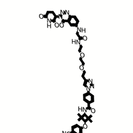 CC1(C)[C@H](NC(=O)c2ccc(-n3cc(CCOCCOCCNC(=O)CNc4ccc5nnn(C6CCC(=O)NC6=O)c(=O)c5c4)nn3)cc2)C(C)(C)[C@H]1Oc1ccc(C#N)c(Cl)c1